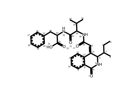 CCC(C)C1NC(=O)c2ccccc2C1=CC(=O)NC(C(=O)NC(Cc1ccccc1)C(=O)O)C(C)C